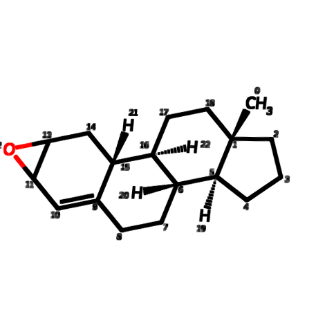 C[C@@]12CCC[C@H]1[C@@H]1CCC3=CC4OC4C[C@@H]3[C@H]1CC2